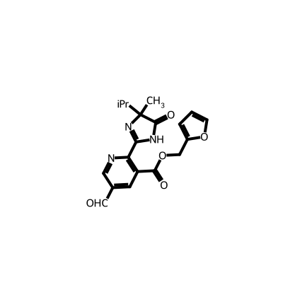 CC(C)C1(C)N=C(c2ncc(C=O)cc2C(=O)OCc2ccco2)NC1=O